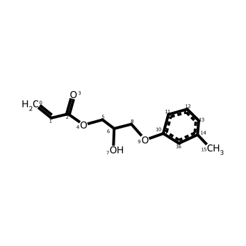 C=CC(=O)OCC(O)COc1cccc(C)c1